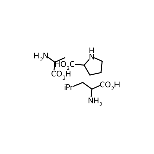 CC(C)CC(N)C(=O)O.CC(N)C(=O)O.O=C(O)C1CCCN1